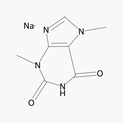 Cn1cnc2c1c(=O)[nH]c(=O)n2C.[Na]